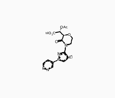 CC(=O)O[C@@H](C(=O)O)[C@H]1OCCN(c2ccn(-c3ccnnc3)n2)C1=O.Cl